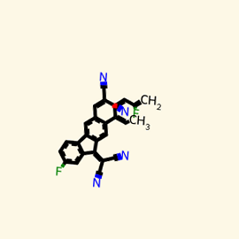 C=C(F)/C=C\C(=C/C)c1cc2c(cc1C=C(C#N)C#N)-c1ccc(F)cc1C2=C(C#N)C#N